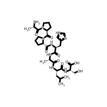 CC(C)C[C@H](NC(=O)[C@H](C)NC(=O)[C@H](Cc1c[nH]cn1)NC(=O)[C@@H]1CCCN1C(=O)[C@@H]1CCCN1C(=O)[C@H](C)N)C(=O)N[C@@H](CO)C(=O)O